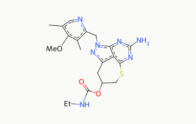 CCNC(=O)OC1CSc2nc(N)nc3c2c(nn3Cc2ncc(C)c(OC)c2C)C1